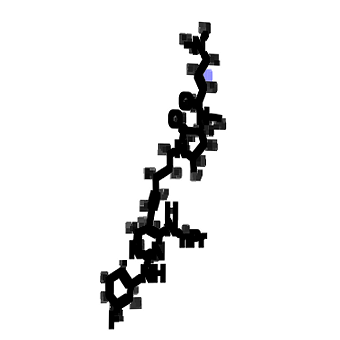 CCCNc1nc(Nc2cccc(F)c2)ncc1C#CCCCN1C(=O)[C@@H](N(C)C(=O)/C=C/CN(C)C)CC1C